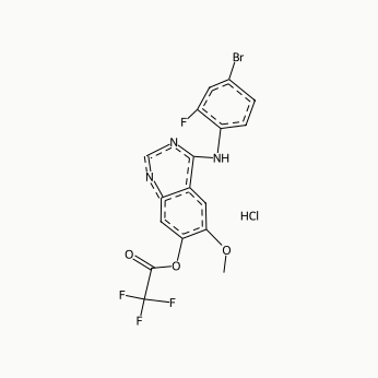 COc1cc2c(Nc3ccc(Br)cc3F)ncnc2cc1OC(=O)C(F)(F)F.Cl